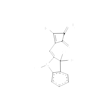 C=C1C(=O)C(C=C2N(CCC)c3ccccc3C2(C)C)=C1O